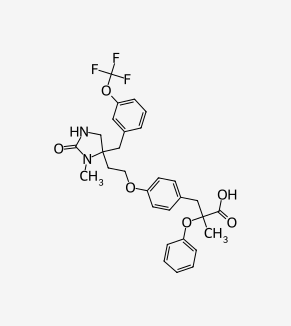 CN1C(=O)NCC1(CCOc1ccc(CC(C)(Oc2ccccc2)C(=O)O)cc1)Cc1cccc(OC(F)(F)F)c1